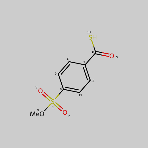 COS(=O)(=O)c1ccc(C(=O)S)cc1